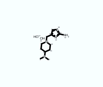 CN(C)C1CCN(Cc2csc(N)n2)CC1.Cl.Cl